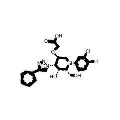 O=C(O)CO[C@H]1C[SH](c2ccc(Cl)c(Cl)c2)[C@H](CO)[C@H](O)[C@@H]1n1cc(-c2ccccc2)nn1